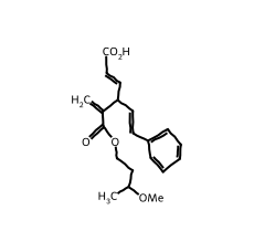 C=C(C(=O)OCCC(C)OC)C(C=CC(=O)O)C=Cc1ccccc1